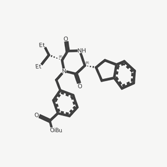 CCC(CC)[C@@H]1C(=O)N[C@H](C2Cc3ccccc3C2)C(=O)N1Cc1cccc(C(=O)OCC(C)C)c1